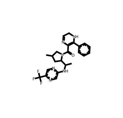 CC1CC(C(C)Nc2cnc(C(F)(F)F)cn2)N(C(=O)C2=C(c3ccccc3)NCC=N2)C1